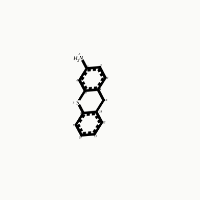 Nc1ccc2c(c1)Sc1ccccc1C2